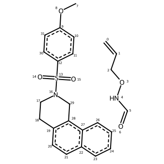 C=CCONC=O.COc1ccc(S(=O)(=O)N2CCc3ccc4ccccc4c3C2)cc1